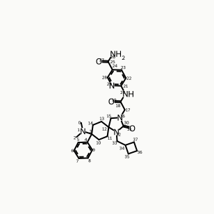 CN(C)C1(c2ccccc2)CCC2(CC1)CN(CC(=O)Nc1ccc(C(N)=O)cn1)C(=O)N2CC1CCC1